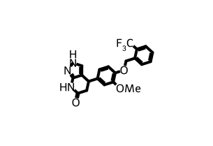 COc1cc(C2CC(=O)Nc3n[nH]cc32)ccc1OCc1ccccc1C(F)(F)F